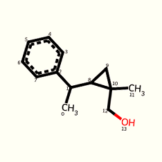 CC(c1ccccc1)C1CC1(C)CO